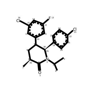 CC(C)N1C(=O)[C@@H](C)CC(c2cc(F)cc(Cl)c2)[C@H]1c1ccc(Cl)cc1